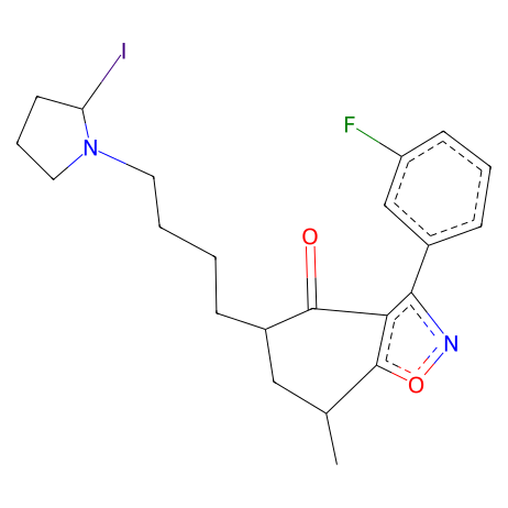 CC1CC(CCCCN2CCCC2I)C(=O)c2c(-c3cccc(F)c3)noc21